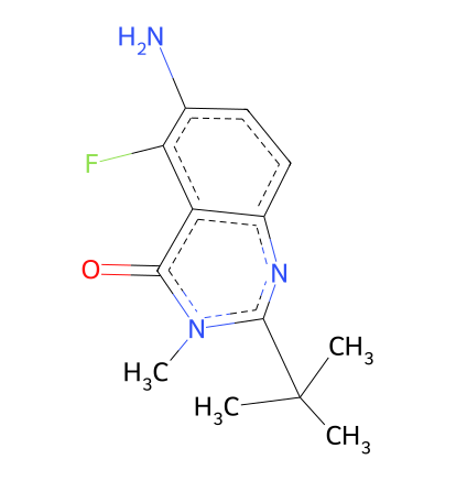 Cn1c(C(C)(C)C)nc2ccc(N)c(F)c2c1=O